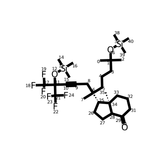 CC(C)(CCCC(C)(CC#CC(O[Si](C)(C)C)(C(F)(F)F)C(F)(F)F)[C@H]1CCC2C(=O)CCC[C@@]21C)O[Si](C)(C)C